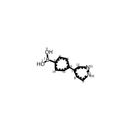 OB(O)c1ccc(-c2ccnnc2)cc1